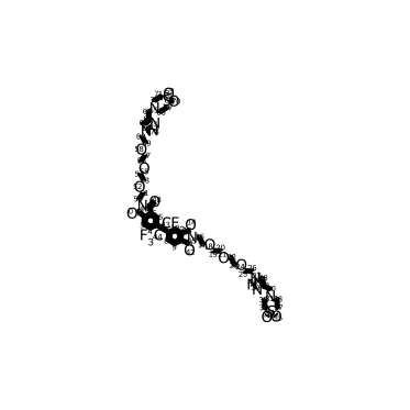 O=C1c2ccc(C(c3ccc4c(c3)C(=O)N(CCOCCOCCOCCn3cc(CN5CCS(=O)(=O)CC5)nn3)C4=O)(C(F)(F)F)C(F)(F)F)cc2C(=O)N1CCOCCOCCOCCn1cc(CN2CCS(=O)(=O)CC2)nn1